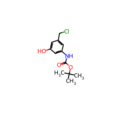 CC(C)(C)OC(=O)Nc1cc(O)cc(CCl)c1